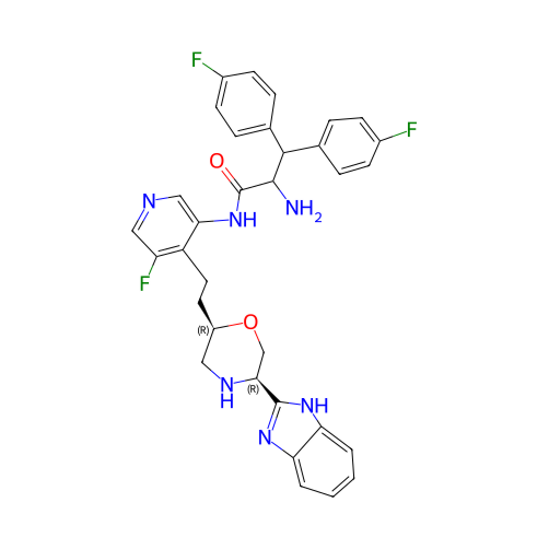 NC(C(=O)Nc1cncc(F)c1CC[C@@H]1CN[C@H](c2nc3ccccc3[nH]2)CO1)C(c1ccc(F)cc1)c1ccc(F)cc1